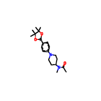 CC(=O)N(C)C1CCN(c2ccc(B3OC(C)(C)C(C)(C)O3)cc2)CC1